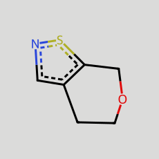 c1nsc2c1CCOC2